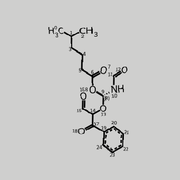 CC(C)CCCC(=O)O[C@H](NC=O)OC(C=O)C(=O)c1ccccc1